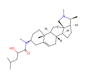 CC(C)CC(O)C(=O)N(C)[C@H]1CC[C@@]2(C)C(=CC[C@H]3[C@@H]4CC[C@@H]5[C@H](C)N(C)C[C@@]54CC[C@@H]32)C1